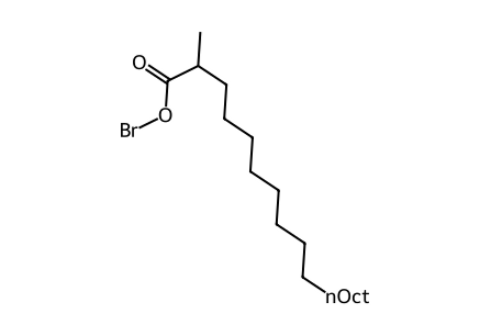 CCCCCCCCCCCCCCCCC(C)C(=O)OBr